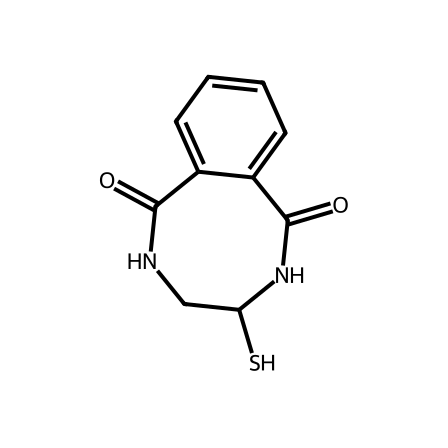 O=C1NCC(S)NC(=O)c2ccccc21